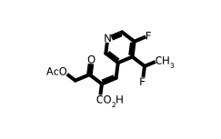 CC(=O)OCC(=O)/C(=C\c1cncc(F)c1C(C)F)C(=O)O